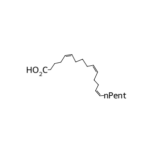 CCCCC/C=C\CC/C=C\CCC/C=C\CCCC(=O)O